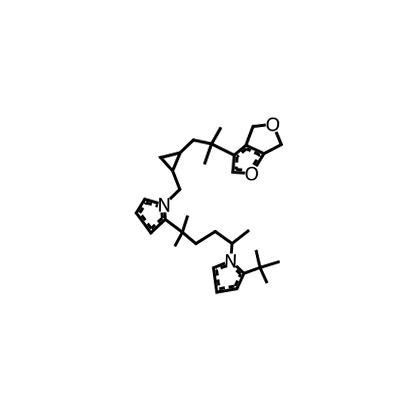 CC(CCC(C)(C)c1cccn1CC1CC1CC(C)(C)c1coc2c1COC2)n1cccc1C(C)(C)C